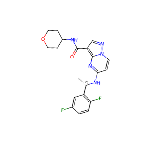 C[C@H](Nc1ccn2ncc(C(=O)NC3CCOCC3)c2n1)c1cc(F)ccc1F